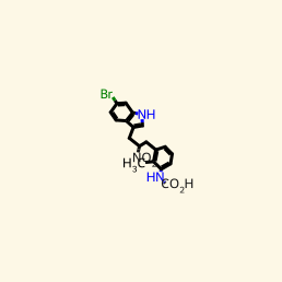 Cc1c(CC(Cc2c[nH]c3cc(Br)ccc23)[N+](=O)[O-])cccc1NC(=O)O